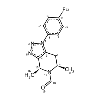 C[C@@H]1Cc2c(nnn2-c2ccc(F)cc2)[C@H](C)N1C=O